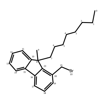 CCCCCCCCC1(C)c2ccccc2-c2cccc(CBr)c21